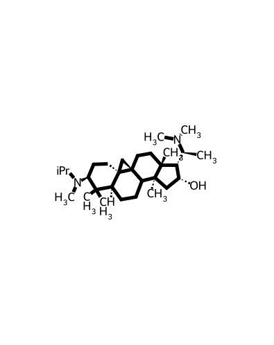 CC(C)N(C)[C@H]1CC[C@]23C[C@]24CC[C@]2(C)[C@H]([C@H](C)N(C)C)[C@H](O)C[C@@]2(C)C4CC[C@H]3C1(C)C